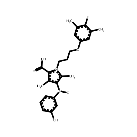 Cc1cc(OCCCn2c(C)c([S+]([O-])c3cccc(O)c3)c(C)c2C(=O)O)cc(C)c1Cl